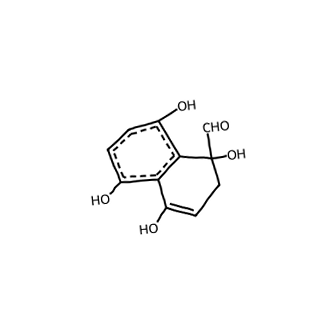 O=CC1(O)CC=C(O)c2c(O)ccc(O)c21